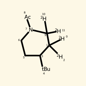 [2H]C1([2H])C(C(C)(C)C)CCN(C(C)=O)C1([2H])[2H]